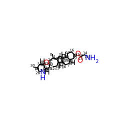 CC1=C2C[C@H]3[C@@H](CC[C@@H]4C[C@@H](OC(=O)CN)CC[C@@]43C)[C@@H]2CC[C@]2(C1)C[C@@H]1NC[C@@H](C)C[C@H]1O2